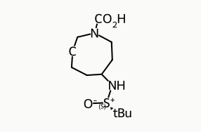 CC(C)(C)[S@@+]([O-])NC1CCCCN(C(=O)O)CC1